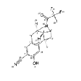 C[C@@]12CC3[C@H]1[C@@H](Cc1cc(C#N)c(O)cc12)N3C(=O)C(F)(F)I